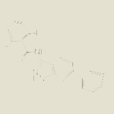 Cc1ccc(C)c(-c2ccc3c(NC(=O)c4c(F)cccc4F)n[nH]c3c2)c1